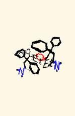 CCC(=O)C(CC(C)N(C)C)(c1ccccc1)c1ccccc1.CC[C@H](OC(C)=O)C(C[C@H](C)N(C)C)(c1ccccc1)c1ccccc1